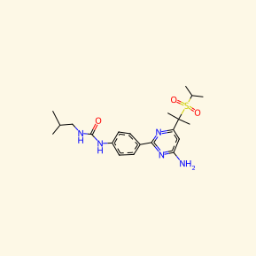 CC(C)CNC(=O)Nc1ccc(-c2nc(N)cc(C(C)(C)S(=O)(=O)C(C)C)n2)cc1